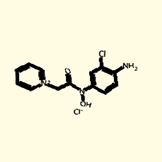 Nc1ccc(N(O)C(=O)C[n+]2ccccc2)cc1Cl.[Cl-]